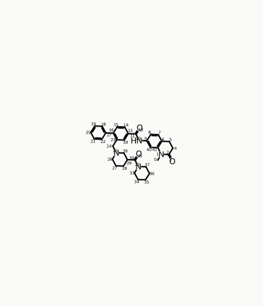 CN1C(=O)CCc2ccc(NC(=O)c3ccc(-c4ccccc4)c(CN4CCCC(C(=O)N5CCCCC5)C4)c3)cc21